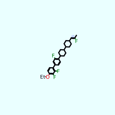 CCOc1ccc(-c2ccc(C3CCC(C4CCC(/C=C(/C)F)CC4)CC3)c(F)c2)c(F)c1F